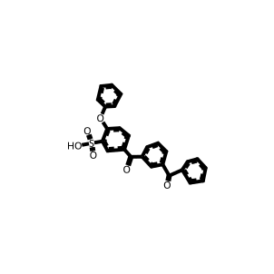 O=C(c1ccccc1)c1cccc(C(=O)c2ccc(Oc3ccccc3)c(S(=O)(=O)O)c2)c1